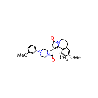 COc1cccc(N2CCN(C(=O)[C@@H]3[C@@H](C)C[C@@]45c6ccc(OC)cc6CCCN4C(=O)C[C@@H]35)CC2)c1